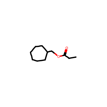 C[CH]C(=O)OCC1CCCCCC1